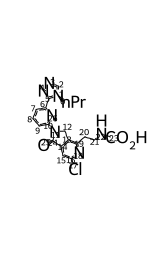 CCCn1cnnc1-c1cccc(N2Cc3c(cc(Cl)nc3CCNC(=O)O)C2=O)n1